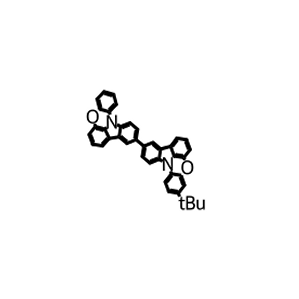 CC(C)(C)c1ccc2c(c1)Oc1cccc3c4cc(-c5ccc6c(c5)c5cccc7c5n6-c5ccccc5O7)ccc4n-2c13